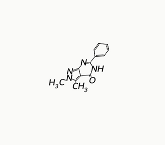 Cc1c2c(=O)[nH]c(-c3ccccc3)nc2nn1C